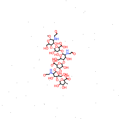 CO[C@H]1OC(CO)[C@@H](O[C@@H]2OC(C(=O)O)[C@@H](O[C@H]3OC(CO)[C@@H](O[C@@H]4OC(C(=O)O)[C@@H](O[C@H]5OC(CO)[C@@H](O[C@@H]6OC(C(=O)O)[C@@H](C)[C@H](O)C6O)[C@H](O)C5NCC=O)[C@H](O)C4O)[C@H](O)C3NCC=O)[C@H](O)C2O)[C@H](O)C1NCC=O